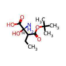 CCC(C(=O)OC(C)(C)C)[C@](N)(O)C(=O)O